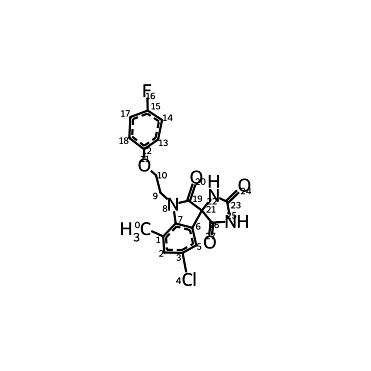 Cc1cc(Cl)cc2c1N(CCOc1ccc(F)cc1)C(=O)C21NC(=O)NC1=O